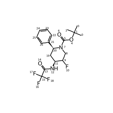 CC(C)(C)OC(=O)N1CC(F)[C@@H](NC(=O)C(F)(F)F)C[C@H]1c1ccccc1